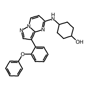 OC1CCC(Nc2ccn3ncc(-c4ccccc4Oc4ccccc4)c3n2)CC1